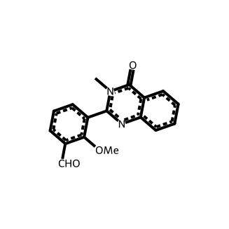 COc1c(C=O)cccc1-c1nc2ccccc2c(=O)n1C